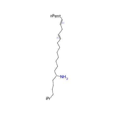 CCCCC/C=C/C/C=C/CCCCCCCC(N)CCCCC(C)C